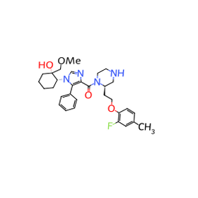 COC[C@]1(O)CCCC[C@H]1n1cnc(C(=O)N2CCNC[C@H]2CCOc2ccc(C)cc2F)c1-c1ccccc1